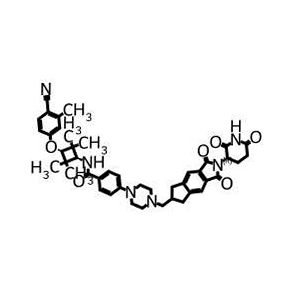 Cc1cc(O[C@H]2C(C)(C)[C@H](NC(=O)c3ccc(N4CCN(CC5Cc6cc7c(cc6C5)C(=O)N([C@@H]5CCC(=O)NC5=O)C7=O)CC4)cc3)C2(C)C)ccc1C#N